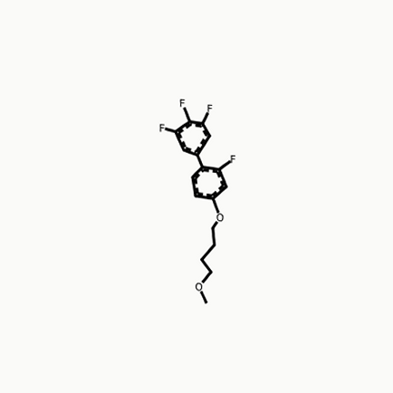 COCCCCOc1ccc(-c2cc(F)c(F)c(F)c2)c(F)c1